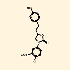 COc1cc(N2C[C@@H](CCc3ccc(C(C)(C)C)cc3)OC2=O)ccc1Cl